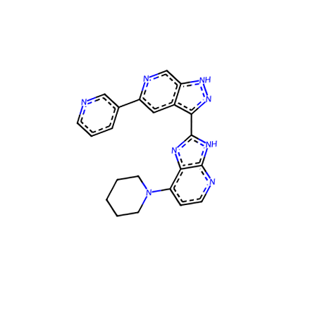 c1cncc(-c2cc3c(-c4nc5c(N6CCCCC6)ccnc5[nH]4)n[nH]c3cn2)c1